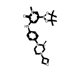 C[C@H]1CN(C2COC2)CCN1c1ccc(Nc2cc(B3OC(C)(C)C(C)(C)O3)cn(C)c2=O)cc1